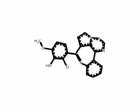 COc1ccc(C2=Nc3ccccc3-c3ncnn4ccc2c34)c(Cl)c1O